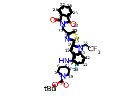 CC(C)(C)OC(=O)N1CC[C@H](Nc2cccc3c2cc(-c2nc(CN4C(=O)c5ccccc5C4=O)cs2)n3CC(F)(F)F)[C@H](F)C1